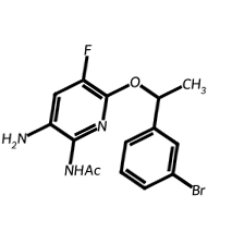 CC(=O)Nc1nc(OC(C)c2cccc(Br)c2)c(F)cc1N